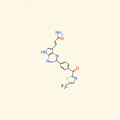 NC(=O)C=Cc1c[nH]c2ncc(-c3ccc(C(=O)c4ncc(C(F)(F)F)s4)cc3)nc12